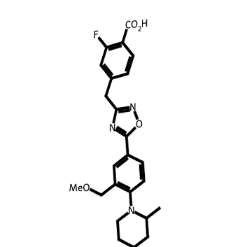 COCc1cc(-c2nc(Cc3ccc(C(=O)O)c(F)c3)no2)ccc1N1CCCCC1C